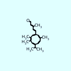 CC(/C=C/c1cc(C)ccc(C(C)C)cc(C)c(C)c1)=C\C=O